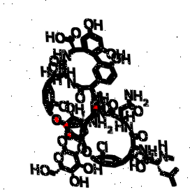 CN[C@H](CC(C)C)C(=O)NC1C(=O)N[C@@H](CC(N)=O)C(=O)N[C@H]2C(=O)N[C@H]3C(=O)N[C@H](C(=O)N[C@@H](C(=O)O)c4cc(O)cc(O)c4-c4cc3ccc4O)[C@H](O)c3ccc(c(Cl)c3)Oc3cc2cc(c3OC2O[C@@H](CO)[C@@H](O)[C@H](O)[C@@H]2O[C@@H]2C[C@](C)(N)[C@H](O)[C@@H](C)O2)Oc2ccc(cc2Cl)[C@H]1O